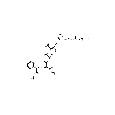 CC(C)(C)OC(=O)NCCn1nnnc1SCC1=C(C(=O)O)N2C(=O)C(NC(=O)/C(=N\OC(C(=O)OC(C)(C)C)c3ccccc3)c3nsc(N)n3)[C@H]2SC1